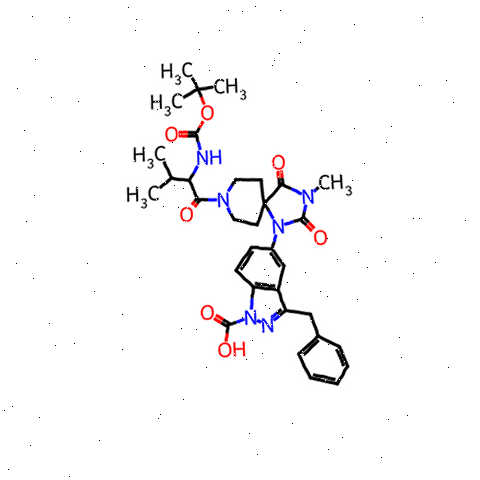 CC(C)C(NC(=O)OC(C)(C)C)C(=O)N1CCC2(CC1)C(=O)N(C)C(=O)N2c1ccc2c(c1)c(Cc1ccccc1)nn2C(=O)O